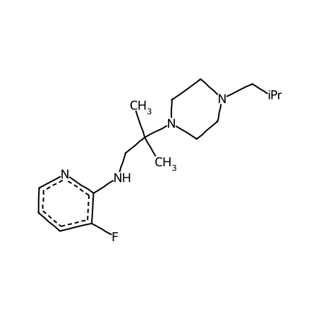 CC(C)CN1CCN(C(C)(C)CNc2ncccc2F)CC1